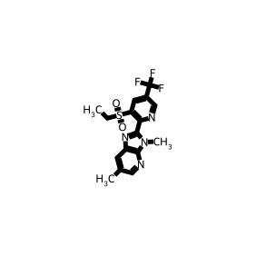 CCS(=O)(=O)c1cc(C(F)(F)F)cnc1-c1nc2cc(C)cnc2n1C